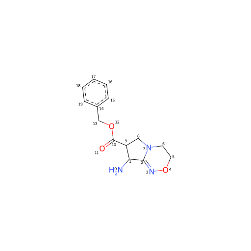 NC1C2=NOCCN2CC1C(=O)OCc1ccccc1